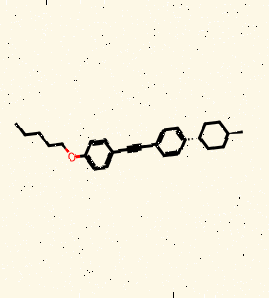 CCCCCOc1ccc(C#Cc2ccc([C@H]3CC[C@H](C)CC3)cc2)cc1